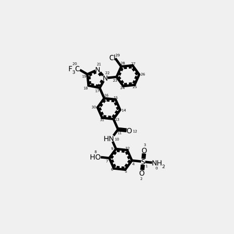 NS(=O)(=O)c1ccc(O)c(NC(=O)c2ccc(-c3cc(C(F)(F)F)nn3-c3ccccc3Cl)cc2)c1